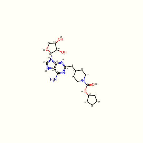 Nc1nc(CC2CCN(C(=O)OC3CCCC3)CC2)nc2c1ncn2[C@@H]1OCC(O)C1O